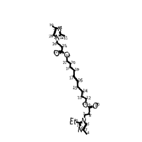 CCc1nc(C)cn1CCC(=O)OCCCCCCCCCCOC(=O)CCn1cc(C)nc1C